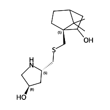 CC1(C)C2CC[C@@]1(CSC[C@@H]1C[C@@H](O)CN1)C(O)C2